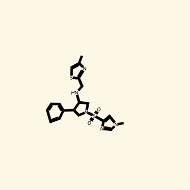 Cc1csc(CNC2CN(S(=O)(=O)c3cn(C)cn3)CC2c2ccccc2)n1